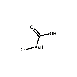 O=C(O)[AsH][Cr]